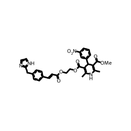 COC(=O)C1=C(C)NC(C)=C(C(=O)OCCOC(=O)C=Cc2ccc(Cc3ncc[nH]3)cc2)C1c1cccc([N+](=O)[O-])c1